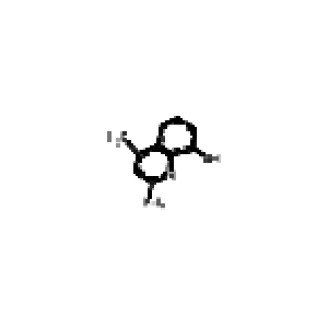 Cc1cc(N)nc2c(O)cccc12